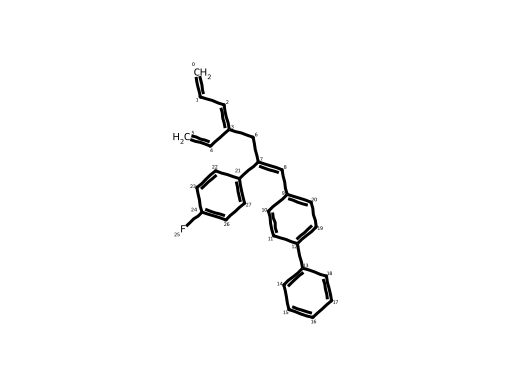 C=C/C=C(\C=C)C/C(=C/c1ccc(-c2ccccc2)cc1)c1ccc(F)cc1